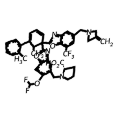 C=C1CN(Cc2cc(C(F)(F)F)c3oc(C4(c5nc6cc(CN7CCC[C@H]7C(=O)O)c(OC(F)F)cc6o5)C=CC=C(c5ccccc5C)C4C)nc3c2)C1